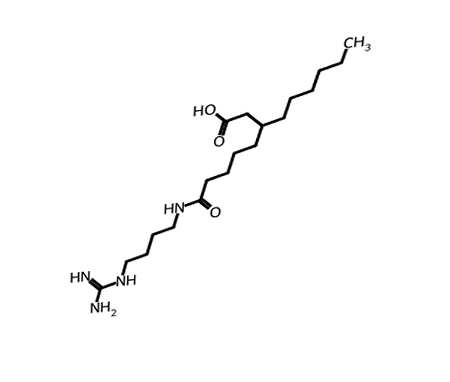 CCCCCCC(CCCCC(=O)NCCCCNC(=N)N)CC(=O)O